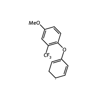 COc1ccc(OC2=CC[CH]C=C2)c(C(F)(F)F)c1